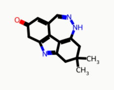 CC1(C)CC2=NC3=C4C(=CC(=O)C3)C=NNC(=C24)C1